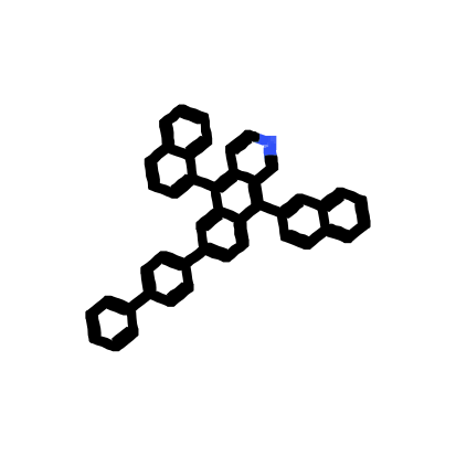 c1ccc(-c2ccc(-c3ccc4c(-c5ccc6ccccc6c5)c5cnccc5c(-c5cccc6ccccc56)c4c3)cc2)cc1